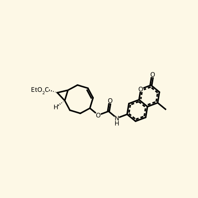 CCOC(=O)[C@@H]1C2C/C=C\C(OC(=O)Nc3ccc4c(C)cc(=O)oc4c3)CC[C@H]21